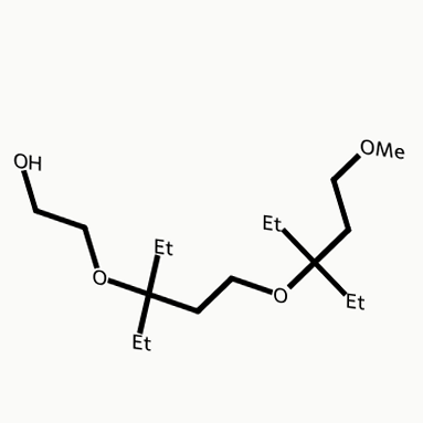 CCC(CC)(CCOC)OCCC(CC)(CC)OCCO